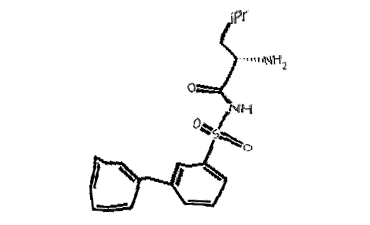 CC(C)C[C@H](N)C(=O)NS(=O)(=O)c1cccc(-c2ccccc2)c1